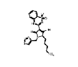 NCCCCC1C(O)=C(C2=NS(=O)(=O)c3ccccc3N2)C(=O)N1Cc1csnn1